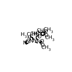 COCC(=O)N1CCN(c2cc(C(C)C)nc(-n3ccnc3)n2)C(CC(=O)NC(C)c2ccc(OC)c(OC)c2)C1